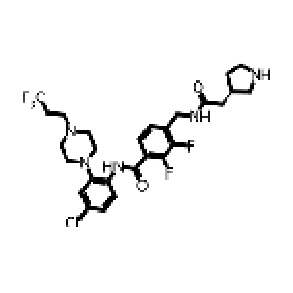 O=C(C[C@H]1CCNC1)NCc1ccc(C(=O)Nc2ccc(Cl)cc2N2CCN(CCC(F)(F)F)CC2)c(F)c1F